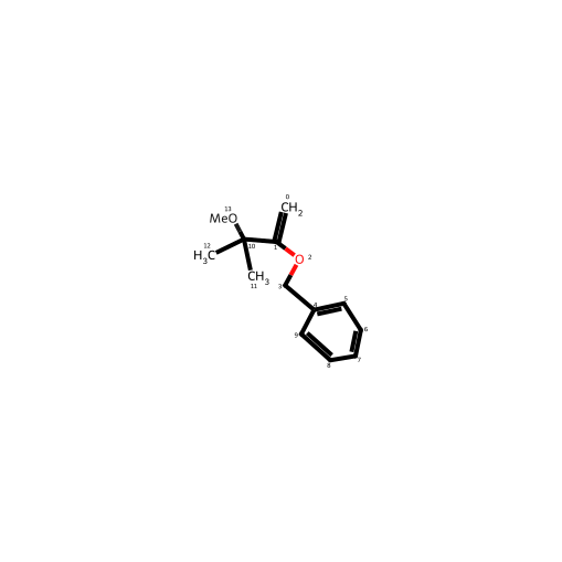 C=C(OCc1ccccc1)C(C)(C)OC